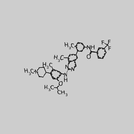 Cc1ccc(NC(=O)c2cccc(C(F)(F)F)c2)cc1-c1cc(C)c2nc(Nc3cc(C)c(C4CCN(C)CC4)cc3OC(C)C)ncc2c1